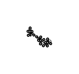 CC1(C)C2=C(B3c4ccccc4N(c4ccccc4)c4cccc(c43)N2c2ccc(-c3ccc(N4c5ccccc5B5c6c4cccc6N(c4cccc(-c6cccc(N7c8ccccc8B8c9c7cccc9N(c7ccccc7)c7oc9ccccc9c78)c6)c4)c4sc6ccccc6c45)cc3)cc2)c2ccccc21